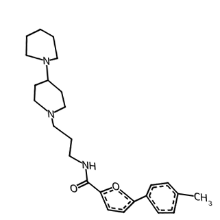 Cc1ccc(-c2ccc(C(=O)NCCCN3CCC(N4CCCCC4)CC3)o2)cc1